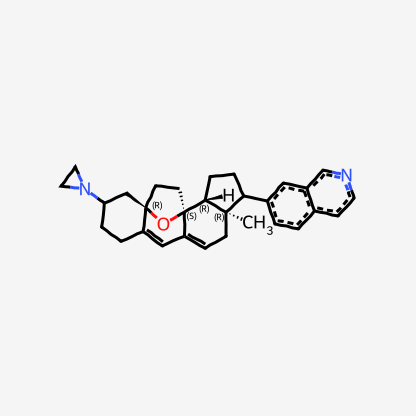 C[C@]12CC=C3C=C4CCC(N5CC5)C[C@]45CC[C@]3(O5)[C@@H]1CCC2c1ccc2ccncc2c1